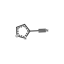 N#Cc1ccon1